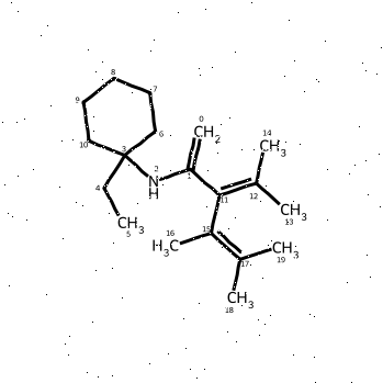 C=C(NC1(CC)CCCCC1)C(=C(C)C)C(C)=C(C)C